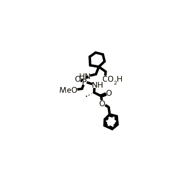 COCP(=O)(NCC1(CC(=O)O)CCCCC1)N[C@@H](C)C(=O)OCc1ccccc1